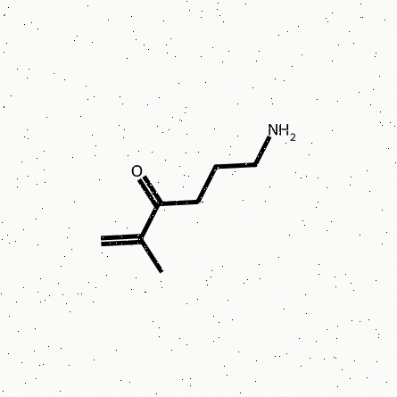 C=C(C)C(=O)[CH]CCN